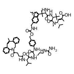 CN[C@@H](C(=O)N[C@H](C(=O)N(C)[C@H](/C=C(\C)C(=O)O)C(C)C)C(C)(C)C)C(C)(C)c1cn(C)c2cc(CNC(=O)OCc3ccc(NC(=O)[C@H](CCCNC(N)=O)NC(=O)[C@@H](NC(=O)CCC(=O)N4Cc5ccccc5/C(C)=C\c5ccccc54)C(C)C)cc3)ccc12